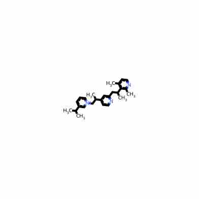 Cc1ccnc(C)c1C(C)Cc1cc(C(C)C[n+]2cccc(C(C)C)c2)ccn1